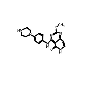 CSc1nc(Nc2ccc(N3CCNCC3)cc2)c2c(=O)[nH]ccc2n1